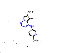 CCOC(=O)c1cn2ncnc(Nc3ccc(OC)nc3)c2c1C